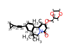 Cc1c(OC[C@@H]2COCCO2)cc(=O)n2c1-c1ccc(C#CC3CC3)cc1C(C)(C)C2